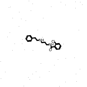 O=C(NCCCNCCc1ccccc1)c1ccccc1Cl